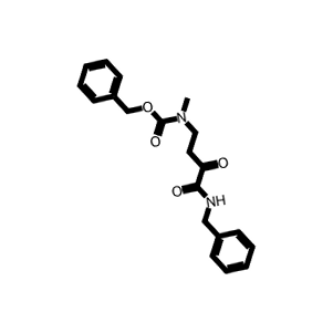 CN(CCC(=O)C(=O)NCc1ccccc1)C(=O)OCc1ccccc1